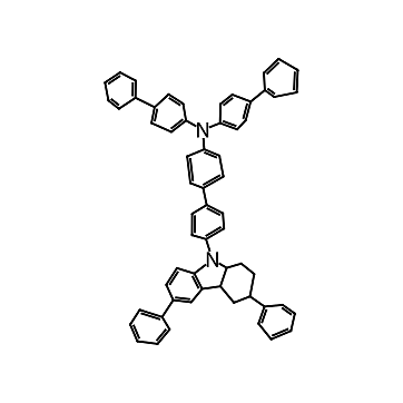 c1ccc(-c2ccc(N(c3ccc(-c4ccccc4)cc3)c3ccc(-c4ccc(N5c6ccc(-c7ccccc7)cc6C6CC(c7ccccc7)CCC65)cc4)cc3)cc2)cc1